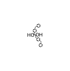 OC(Cc1ccc(Cc2ccccc2)cc1)C(O)c1ccc(Cc2ccccc2)cc1